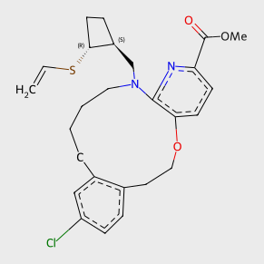 C=CS[C@@H]1CC[C@H]1CN1CCCCc2cc(Cl)ccc2CCOc2ccc(C(=O)OC)nc21